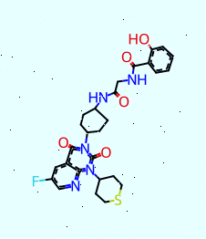 O=C(CNC(=O)c1ccccc1O)NC1CCC(n2c(=O)c3cc(F)cnc3n(C3CCSCC3)c2=O)CC1